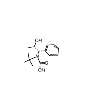 CC(O)[C@H](c1ccccc1)N(C(=O)O)C(C)(C)C